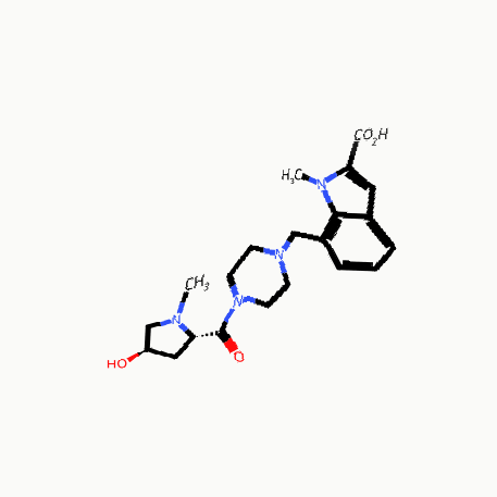 CN1C[C@H](O)C[C@H]1C(=O)N1CCN(Cc2cccc3cc(C(=O)O)n(C)c23)CC1